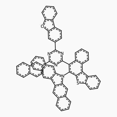 c1ccc2cc(-c3nc(-c4ccc5c(c4)oc4ccccc45)nc(-c4c(-n5c6cc7ccccc7cc6c6cc7ccccc7cc65)c5sc6ccccc6c5c5ccccc45)n3)ccc2c1